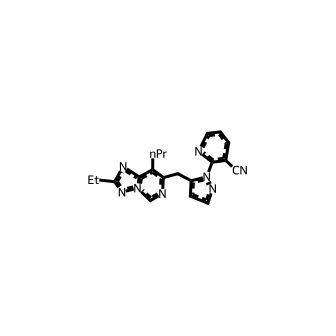 CCCc1c(Cc2ccnn2-c2ncccc2C#N)ncn2nc(CC)nc12